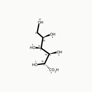 O=C(O)[C@H](O)[C@H](O)[C@@H](O)[C@H](O)CO